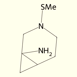 CSN1CCC2CC2(N)C1